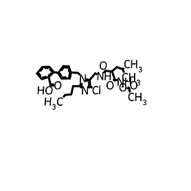 CCCCc1nc(Cl)c(CNC(=O)C(CC(C)C)C(=O)NOC(C)=O)n1Cc1ccc(-c2ccccc2C(=O)O)cc1